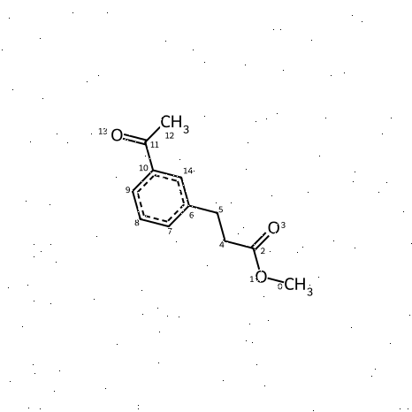 COC(=O)CCc1cccc(C(C)=O)c1